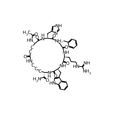 CC(=O)N[C@H]1CCC(=O)NCCC[C@@H](C(N)=O)NC(=O)[C@H](Cc2c[nH]c3ccccc23)NC(=O)[C@H](CCCNC(=N)N)NC(=O)[C@@H](Cc2ccccc2)NC(=O)[C@H](Cc2c[nH]cn2)NC1=O